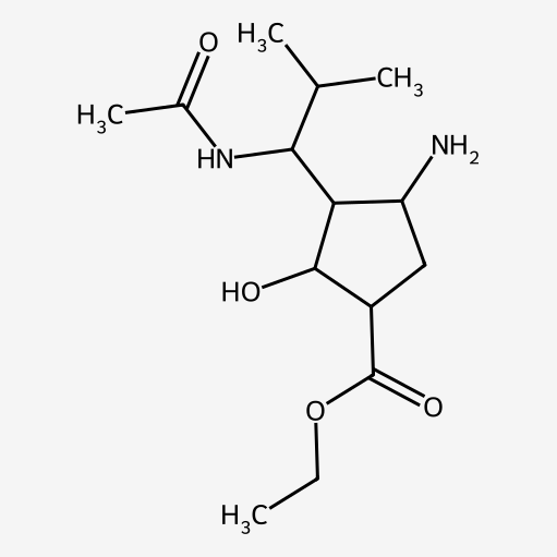 CCOC(=O)C1CC(N)C(C(NC(C)=O)C(C)C)C1O